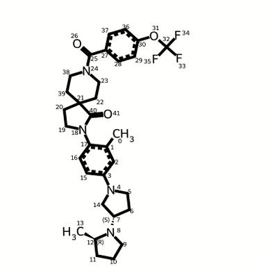 Cc1cc(N2CC[C@H](N3CCC[C@H]3C)C2)ccc1N1CCC2(CCN(C(=O)c3ccc(OC(F)(F)F)cc3)CC2)C1=O